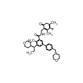 CCN(c1cc(-c2ccc(CN3CCOCC3)cc2)cc(C(=O)NCC2=C(C)C(F)=C(C)CC2=O)c1C)C1CCOCC1